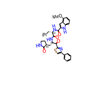 COc1cccc2[nH]c(C(=O)N[C@@H](CC(C)C)C(=O)N[C@@H](C[C@@H]3CCNC3=O)C(=O)c3nc(-c4ccccc4)cs3)cc12